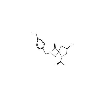 COc1ccc(CN2CC3(CC(C#N)CN3C(=O)C(C)C)C2=O)cc1